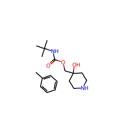 CC(C)(C)NC(=O)OCC1(O)CCNCC1.Cc1ccccc1